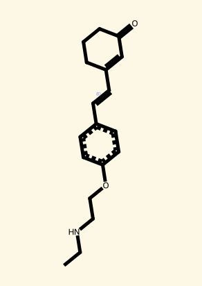 CCNCCOc1ccc(/C=C/C2=CC(=O)CCC2)cc1